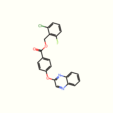 O=C(OCc1c(F)cccc1Cl)c1ccc(Oc2cnc3ccccc3n2)cc1